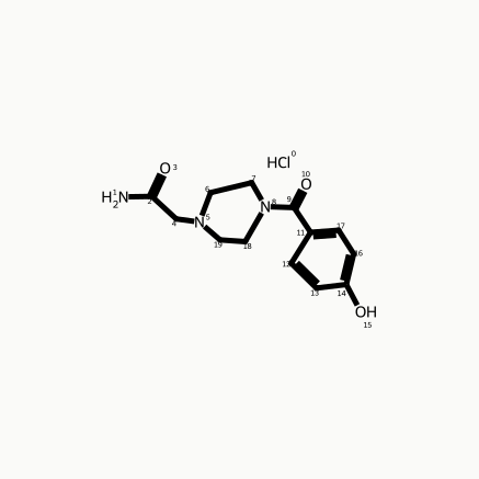 Cl.NC(=O)CN1CCN(C(=O)c2ccc(O)cc2)CC1